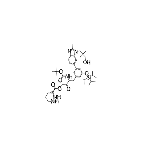 Cc1nc2ccc(-c3cc(CC(NC(=O)OC(C)(C)C)C(=O)COC(=O)[C@@H]4CCCNN4)cc(O[Si](C(C)C)(C(C)C)C(C)C)c3)cc2n1CC(C)(C)CO